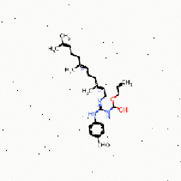 C=CCOC(O)N/C(=N\C/C=C(\C)CC/C=C(\C)CCC=C(C)C)Nc1ccc(C=O)cc1